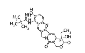 CC[C@@]1(O)C(=O)OCc2c1cc1n(c2=O)Cc2cc3c(NC(=N)C(C)(C)C)c(O)ccc3nc2-1